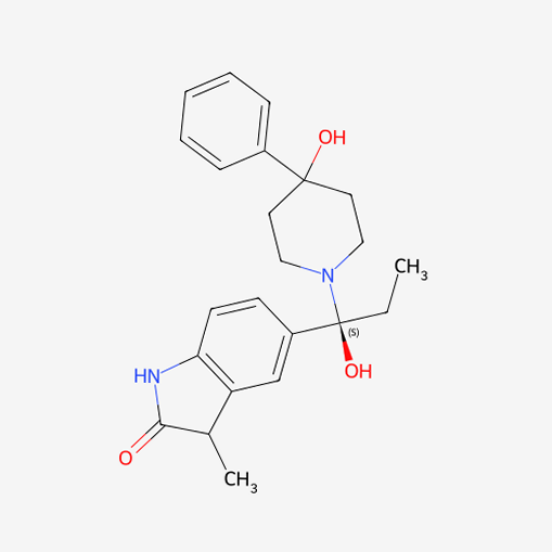 CC[C@](O)(c1ccc2c(c1)C(C)C(=O)N2)N1CCC(O)(c2ccccc2)CC1